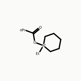 CCCC(=O)O[N+]1(CC)CCCCC1